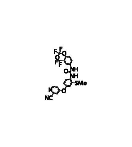 CSc1cc(Oc2ccnc(C#N)c2)ccc1NC(=O)Nc1ccc2c(c1)C(F)(F)OC(F)(F)O2